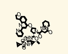 C=C[C@@H]1C[C@]1(NC(=O)[C@@H]1C[C@@H](Oc2cc(-c3ccccn3)nc3c4c(ccc23)OCC4)CN1C(=O)C(CC(=O)N1CCCCC1)C(C)(C)C)C(=O)NS(=O)(=O)C1CC1